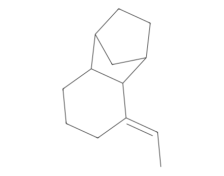 CC=C1CCCC2C3CCC(C3)C12